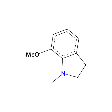 COc1cccc2c1N(C)CC2